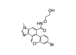 Cn1cnc2c(F)c(-c3ccc(Br)cc3Cl)c(C(=O)NOCCO)cc21